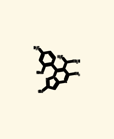 COc1cc(C)ccc1-c1c(C(C)C(=O)O)c(C)nc2cc(C(C)(C)C)nn12